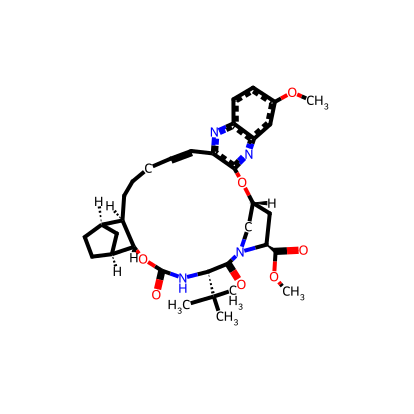 COC(=O)[C@@H]1C[C@@H]2CN1C(=O)[C@H](C(C)(C)C)NC(=O)O[C@@H]1[C@H]3CC[C@H](C3)[C@H]1CCC/C=C/c1nc3ccc(OC)cc3nc1O2